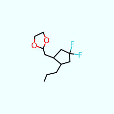 CCCC1CC(F)(F)CC1CC1OCCO1